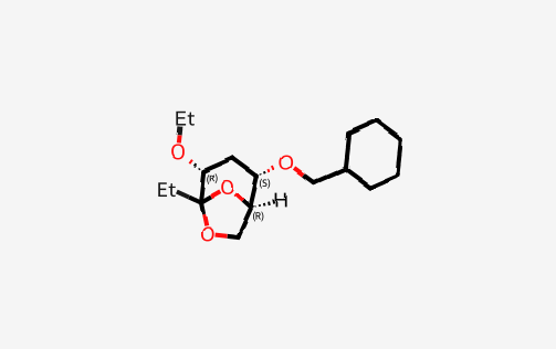 CCO[C@@H]1C[C@H](OCC2CCCCC2)[C@H]2COC1(CC)O2